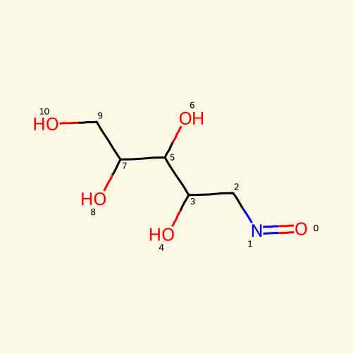 O=NCC(O)C(O)C(O)CO